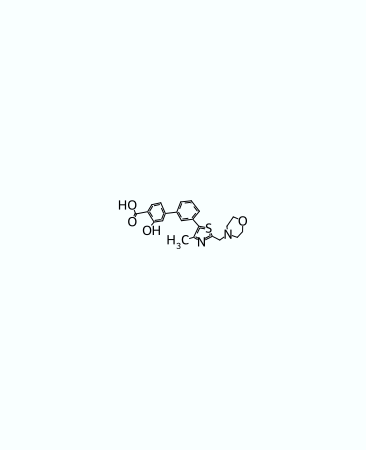 Cc1nc(CN2CCOCC2)sc1-c1cccc(-c2ccc(C(=O)O)c(O)c2)c1